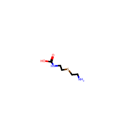 NCCSCCNC(=O)O